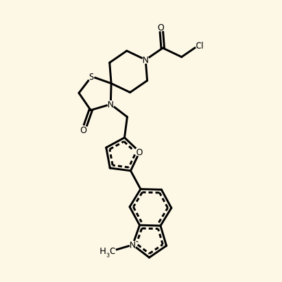 Cn1ccc2ccc(-c3ccc(CN4C(=O)CSC45CCN(C(=O)CCl)CC5)o3)cc21